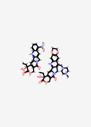 CC[C@@]1(O)C(=O)OCc2c1cc1n(c2=O)Cc2c-1nc1cc3c(cc1c2CN1CCN(C)CC1)OCCO3.CC[C@@]1(O)C(=O)OCc2c1cc1n(c2=O)Cc2cc3c([N+](=O)[O-])cccc3nc2-1